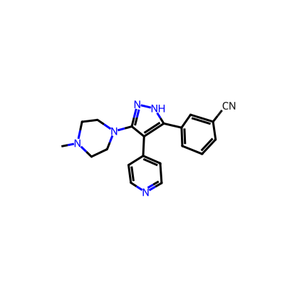 CN1CCN(c2n[nH]c(-c3cccc(C#N)c3)c2-c2ccncc2)CC1